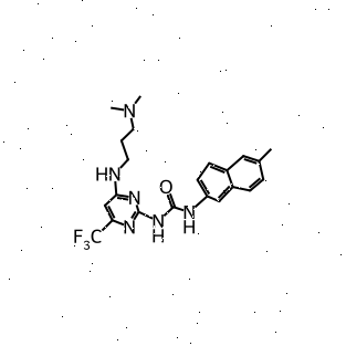 Cc1ccc2cc(NC(=O)Nc3nc(NCCCN(C)C)cc(C(F)(F)F)n3)ccc2c1